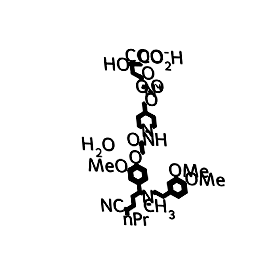 CCCC(C#N)CCC(c1ccc(OCC(=O)NN2CCC(CO[N+](=O)OC(=O)CC(O)(CC(=O)O)C(=O)[O-])CC2)c(OC)c1)N(C)CCc1ccc(OC)c(OC)c1.O